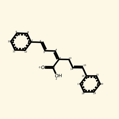 O=C(O)C(=CC=Cc1ccccc1)CC=Cc1ccccc1